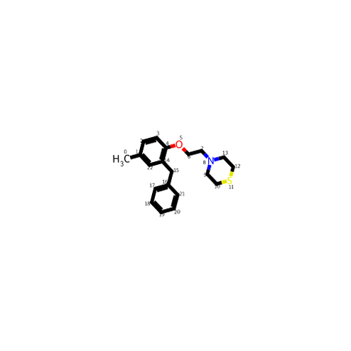 Cc1ccc(OCCN2CCSCC2)c(Cc2ccccc2)c1